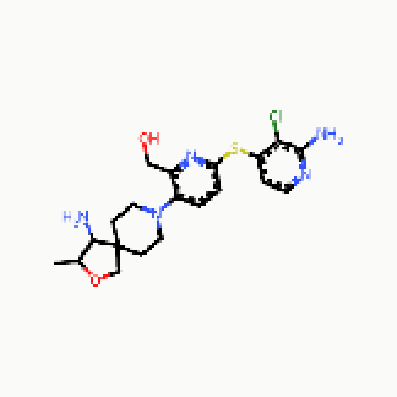 CC1OCC2(CCN(c3ccc(Sc4ccnc(N)c4Cl)nc3CO)CC2)[C@@H]1N